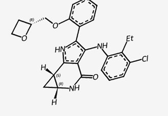 CCc1c(Cl)cccc1Nc1c(-c2ccncc2OC[C@H]2CCO2)[nH]c2c1C(=O)N[C@@H]1C[C@H]21